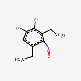 O=Ic1c(CC(=O)O)cc(Br)c(Br)c1CC(=O)O